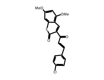 COc1cc(OC)c2cc(C(=O)C=Cc3ccc(Cl)cc3)c(=O)sc2c1